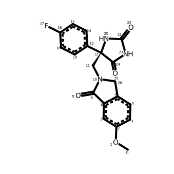 COc1ccc2c(c1)C(=O)N(C[C@@]1(c3ccc(F)cc3)NC(=O)NC1=O)C2